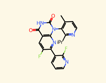 Cc1ccnc(C(C)C)c1-n1c(=O)[nH]c(=O)c2cc(F)c(-c3cccnc3F)nc21